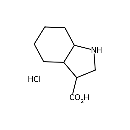 Cl.O=C(O)C1CNC2CCCCC21